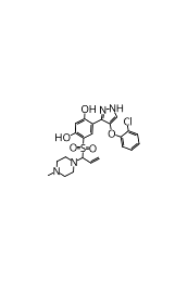 C=CC(N1CCN(C)CC1)S(=O)(=O)c1cc(-c2n[nH]cc2Oc2ccccc2Cl)c(O)cc1O